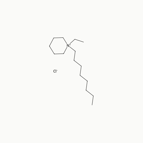 CCCCCCCC[N+]1(CC)CCCCC1.[Cl-]